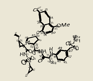 C=C[C@@H]1C[C@@]1(C(=O)NS(=O)(=O)C1CC1)N1C[C@H](Oc2ncc(OC)c3ccc(Cl)cc23)C[C@H]1C(=O)NC(=O)[C@@H](Nc1cccc(S(=O)(=O)NC(C)(C)C)c1)C(C)(C)C